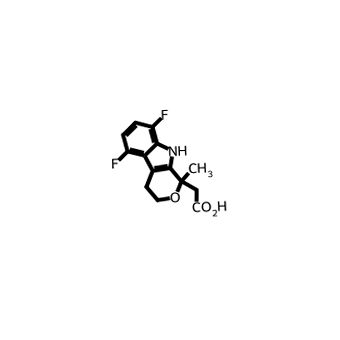 CC1(CC(=O)O)OCCc2c1[nH]c1c(F)ccc(F)c21